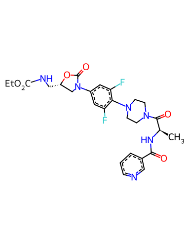 CCOC(=O)NC[C@H]1CN(c2cc(F)c(N3CCN(C(=O)[C@@H](C)NC(=O)c4cccnc4)CC3)c(F)c2)C(=O)O1